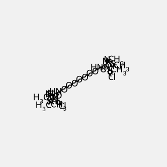 Cc1sc2c(c1C)C(c1ccc(Cl)cc1)=NC(CC(=O)NCCOCCOCCOCCOCCOCCOCCOCCNC(=O)CC1N=C(c3ccc(Cl)cc3)c3c(sc(C)c3C)-n3c(C)nnc31)c1nnc(C)n1-2